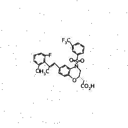 C/C(=C\c1ccc2c(c1)N(S(=O)(=O)c1cccc(C(F)(F)F)c1)C[C@H](CC(=O)O)O2)c1c(F)cccc1Cl